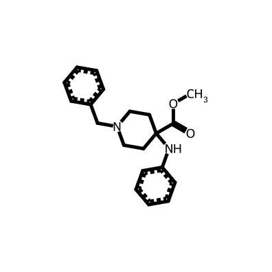 COC(=O)C1(Nc2ccccc2)CCN(Cc2ccccc2)CC1